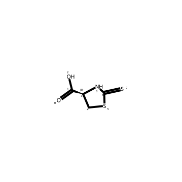 O=C(O)[C@@H]1CSC(=S)N1